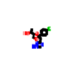 CC(O)C1COC(Cc2nc[nH]n2)(c2ccc(Cl)cc2)O1